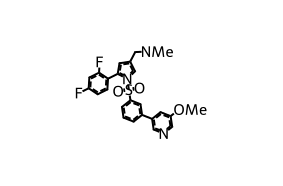 CNCc1cc(-c2ccc(F)cc2F)n(S(=O)(=O)c2cccc(-c3cncc(OC)c3)c2)c1